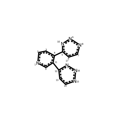 [c]1nccc(-c2ccnnn2)c1-c1ccnnn1